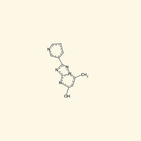 Cc1cc(O)nc2nc(-c3cccnc3)nn12